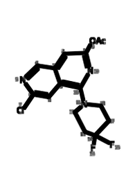 CC(=O)Oc1cc2cnc(Cl)cc2c(N2CCC(F)(F)CC2)n1